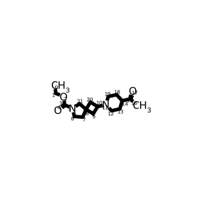 CCOC(=O)N1CCC2(CC(N3CCC(C(C)=O)CC3)C2)C1